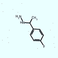 CC(NN)c1ccc(F)cc1